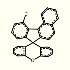 Clc1cccc2c1-c1c(ccc3ccccc13)C21c2ccccc2Oc2ccccc21